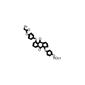 CCCCCCCCOc1ccc(Sc2cccc3c2C(=O)c2cccc(Sc4ccc(OC(=O)CC(C)C)cc4)c2C3=O)cc1